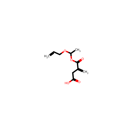 C=CCOC(C)OC(=O)C(=C)CC(=O)O